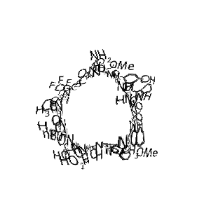 CCCC[C@H]1C(=O)N2C[C@H](O)C[C@@H]2C(=O)N[C@@H](CC(=O)O)C(=O)N[C@@H](C(C)C)C(=O)N(C)[C@@H](Cc2ccccc2)C(=O)N[C@@H](Cc2ccc(OC)cc2)C(=O)N2CCOC[C@@H]2C(=O)N[C@@H](Cc2c[nH]c3ccccc23)C(=O)N[C@@H](Cc2ccc(O)cc2)C(=O)N[C@@H](CCOC)C(=O)N[C@H](C(=O)NCC(N)=O)CSCC(=O)N[C@@H](Cc2cc(F)c(F)c(F)c2)C(=O)N(C)[C@@H](Cc2ccccc2)C(=O)N1C